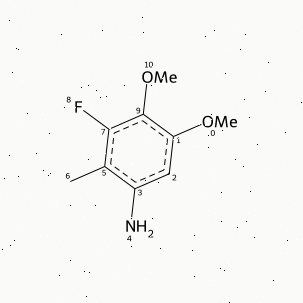 COc1cc(N)c(C)c(F)c1OC